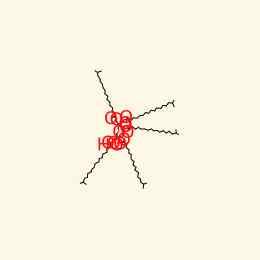 CC(C)CCCCCCCCCCCCCCC(=O)OCC(CO)(COCC(COC(=O)CCCCCCCCCCCCCCC(C)C)(COC(=O)CCCCCCCCCCCCCCC(C)C)COC(=O)CCCCCCCCCCCCCCC(C)C)COC(=O)CCCCCCCCCCCCCCC(C)C